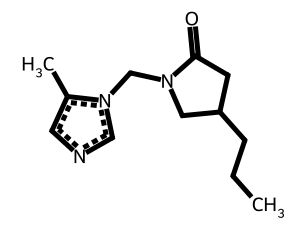 CCCC1CC(=O)N(Cn2cncc2C)C1